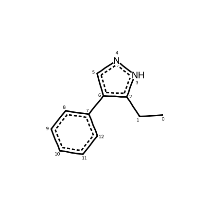 CCc1[nH]ncc1-c1ccccc1